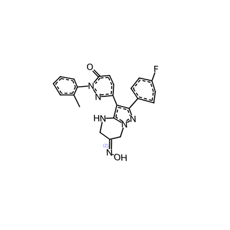 Cc1ccccc1-n1nc(-c2c(-c3ccc(F)cc3)nn3c2NC/C(=N/O)C3)ccc1=O